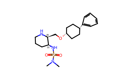 CN(C)S(=O)(=O)N[C@H]1CCCN[C@H]1CO[C@H]1CC[C@@H](c2ccccc2)CC1